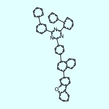 c1ccc(-c2cccc(-c3nc(-c4ccc(-c5ccc(-c6ccc7c(c6)oc6ccccc67)c6ccccc56)cc4)nc(-c4ccccc4-c4ccccc4)n3)c2)cc1